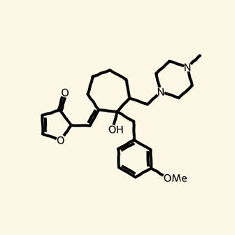 COc1cccc(CC2(O)C(=CC3OC=CC3=O)CCCCC2CN2CCN(C)CC2)c1